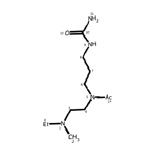 CCN(C)CCN(CCCNC(N)=O)C(C)=O